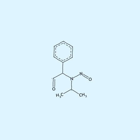 C[C](C)N(N=O)C([C]=O)c1ccccc1